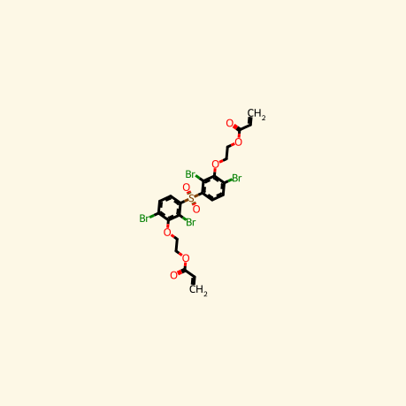 C=CC(=O)OCCOc1c(Br)ccc(S(=O)(=O)c2ccc(Br)c(OCCOC(=O)C=C)c2Br)c1Br